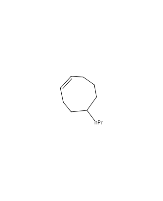 [CH2]CCC1CC/C=C\CCC1